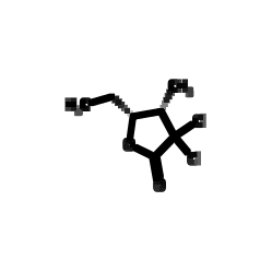 CC[C@H]1OC(=O)C(Cl)(Cl)[C@H]1C